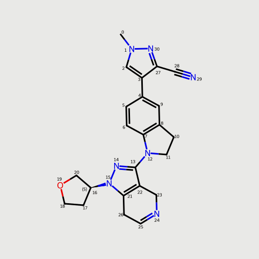 Cn1cc(-c2ccc3c(c2)CCN3c2nn([C@H]3CCOC3)c3c2CN=CC3)c(C#N)n1